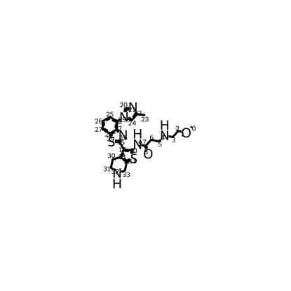 COCCNCCC(=O)Nc1sc2c(c1-c1nc3c(-n4cnc(C)c4)cccc3s1)CCNC2